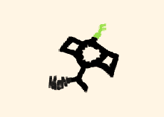 CNC(C)c1c2c(c(F)c3c1CC3)CC2